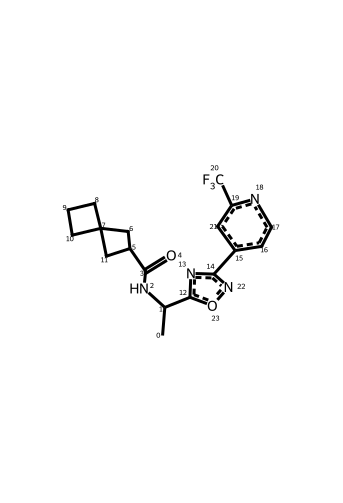 CC(NC(=O)C1CC2(CCC2)C1)c1nc(-c2ccnc(C(F)(F)F)c2)no1